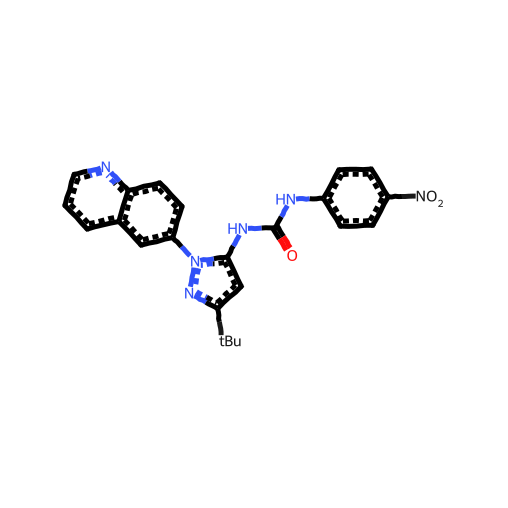 CC(C)(C)c1cc(NC(=O)Nc2ccc([N+](=O)[O-])cc2)n(-c2ccc3ncccc3c2)n1